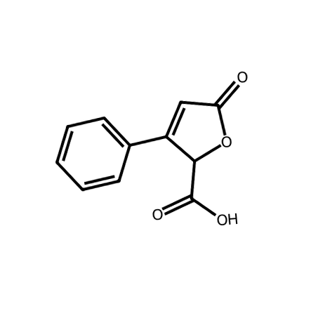 O=C1C=C(c2ccccc2)C(C(=O)O)O1